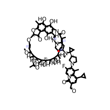 CO[C@H]1/C=C/O[C@@]2(C)Oc3c(C)c(O)c4c(O)c(c(/C=N/N5CCC(N(C)C6([C@H]7CCN(c8c(F)cn9c(=O)c(C=O)cc(C%10CC%10)c9c8C)C7)CC6)CC5)c(O)c4c3C2=O)NC(=O)/C(C)=C\C=C\[C@H](C)[C@H](O)[C@@H](C)[C@@H](O)[C@@H](C)[C@H](OC(C)=O)[C@@H]1C